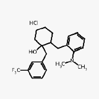 CN(C)c1ccccc1CC1CCCCC1(O)Cc1cccc(C(F)(F)F)c1.Cl